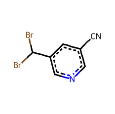 N#Cc1cncc(C(Br)Br)c1